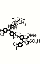 CC(C)(O)CNS(=O)(=O)c1cnc(C(c2ccc(F)c(Cl)c2)c2ccc(F)c(Cl)c2)[nH]1.COCC(C)n1c(S(=O)(=O)O)cnc1C(c1ccc(F)c(Cl)c1)c1ccc(F)c(Cl)c1